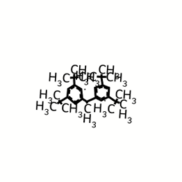 CC(c1[c]c(C(C)(C)C)cc(C(C)(C)C)c1)c1[c]c(C(C)(C)C)cc(C(C)(C)C)c1